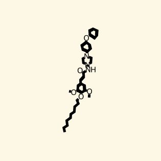 CCCCCCCCCCOc1c(OC)cc(C=CC(=O)NN2CCN(c3ccc(Oc4ccccc4)cc3)CC2)cc1OC